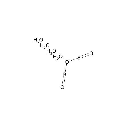 O.O.O.O.O=BOB=O